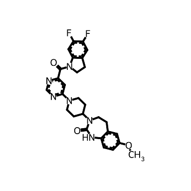 COc1ccc2c(c1)CCN(C1CCN(c3cc(C(=O)N4CCc5cc(F)c(F)cc54)ncn3)CC1)C(=O)N2